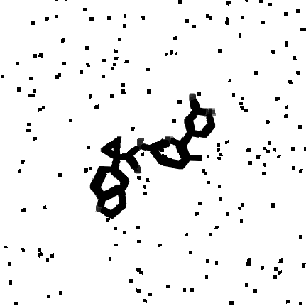 Cc1ccc(NC(=O)C2(c3ccc4c(c3)CCO4)CC2)nc1-c1cc[nH]c(=O)c1